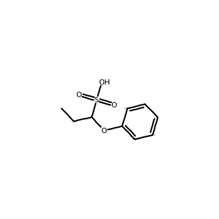 CCC(Oc1[c]cc[c]c1)S(=O)(=O)O